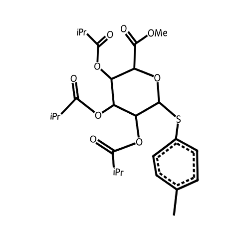 COC(=O)C1OC(Sc2ccc(C)cc2)C(OC(=O)C(C)C)C(OC(=O)C(C)C)C1OC(=O)C(C)C